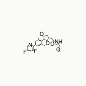 COCC(C)(C)NC(=O)CC1CC(=O)C(c2c(C)cc(-c3ncc(F)cc3F)cc2C)C1=O